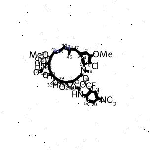 COc1cc2cc(c1Cl)N(C)C(=O)C[C@H](OC(=O)Nc1ccc([N+](=O)[O-])cc1C(F)(F)F)[C@]1(C)O[C@H]1[C@H](C)[C@@H]1C[C@@](O)(NC(=O)O1)[C@H](OC)/C=C/C=C(\C)C2